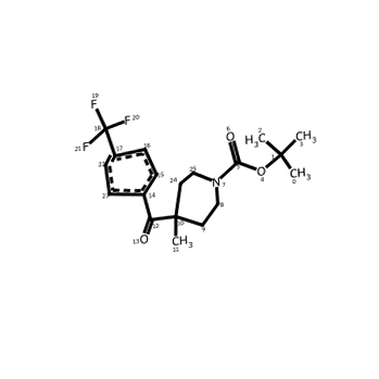 CC(C)(C)OC(=O)N1CCC(C)(C(=O)c2ccc(C(F)(F)F)cc2)CC1